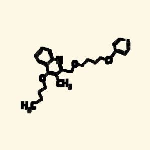 CCCCOc1c(C)c(COCCCCOc2ccccc2)nc2ccccc12